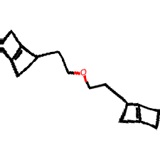 C(CC1CC2=C1CC2)OCCC1CC2=C1CC2